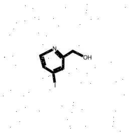 OCc1cc(I)ccn1